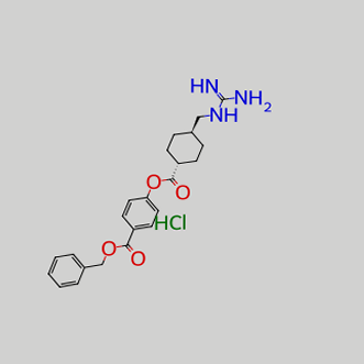 Cl.N=C(N)NC[C@H]1CC[C@H](C(=O)Oc2ccc(C(=O)OCc3ccccc3)cc2)CC1